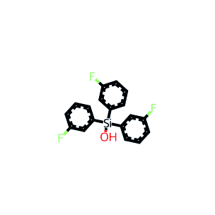 O[Si](c1cccc(F)c1)(c1cccc(F)c1)c1cccc(F)c1